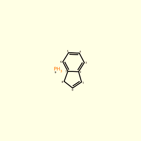 C1=Cc2ccccc2C1.P